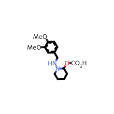 COc1ccc(CNN2CCCCC2OC(=O)O)cc1OC